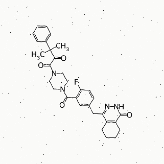 CC(C)(C(=O)C(=O)N1CCN(C(=O)c2cc(Cc3n[nH]c(=O)c4c3CCCC4)ccc2F)CC1)c1ccccc1